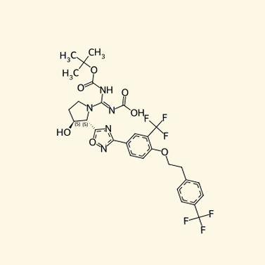 CC(C)(C)OC(=O)NC(=NC(=O)O)N1CC[C@H](O)[C@H]1c1nc(-c2ccc(OCCc3ccc(C(F)(F)F)cc3)c(C(F)(F)F)c2)no1